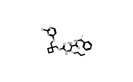 CCCC[C@H](NC(=O)OCC1(COc2ccnc(Cl)n2)CCC1)C(O)C(=O)N[C@H](C)c1ccccc1